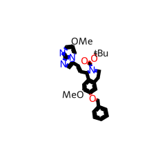 COc1cnc2ncc(/C=C/C3c4cc(OC)c(OCc5ccccc5)cc4CCN3C(=O)OC(C)(C)C)n2c1